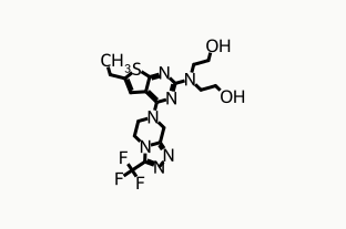 CCc1cc2c(N3CCn4c(nnc4C(F)(F)F)C3)nc(N(CCO)CCO)nc2s1